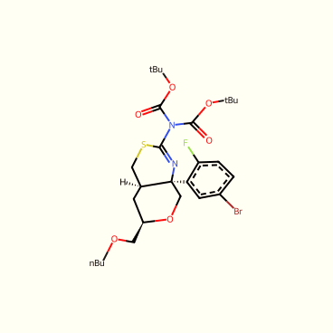 CCCCOC[C@H]1C[C@H]2CSC(N(C(=O)OC(C)(C)C)C(=O)OC(C)(C)C)=N[C@@]2(c2cc(Br)ccc2F)CO1